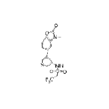 Cn1c(=O)oc2ccc(-c3cncc(NS(=O)(=O)CC(F)(F)F)c3)cc21